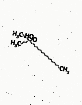 CCCCCCCCCCCCCCCCCCC([C](CCCC)CCCC)C(=O)O